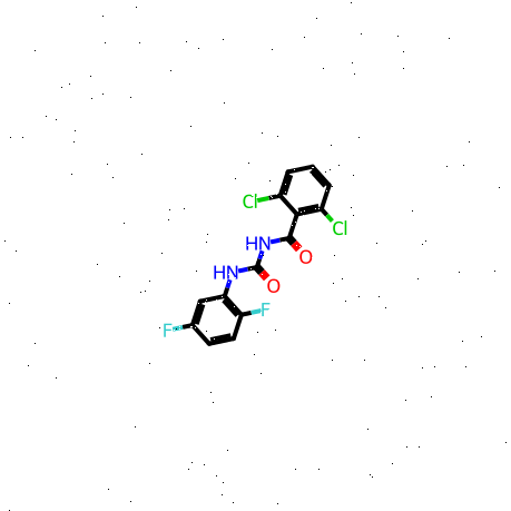 O=C(NC(=O)c1c(Cl)cccc1Cl)Nc1cc(F)ccc1F